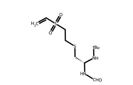 C=CS(=O)(=O)CCSC[C@@H](NC=O)NC(C)(C)C